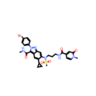 CNC(=O)c1c2cc(C3CC3)c(N(CCCNC(=O)c3ccn(C)c(=O)c3)S(C)(=O)=O)cc2nn1-c1ccc(Br)cc1